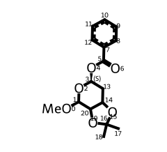 COC1O[C@@H](OC(=O)c2ccccc2)CC2OC(C)(C)OC21